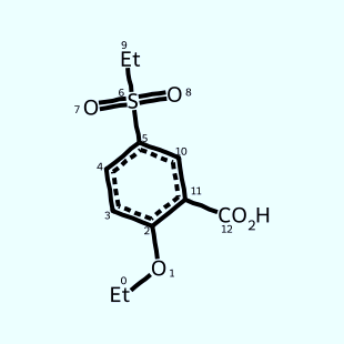 CCOc1ccc(S(=O)(=O)CC)cc1C(=O)O